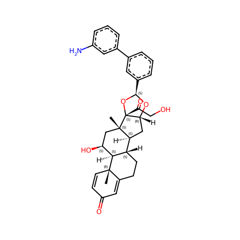 C[C@]12C=CC(=O)C=C1CC[C@@H]1[C@@H]2[C@@H](O)C[C@@]2(C)[C@H]1C[C@H]1O[C@H](c3cccc(-c4cccc(N)c4)c3)O[C@]12C(=O)CO